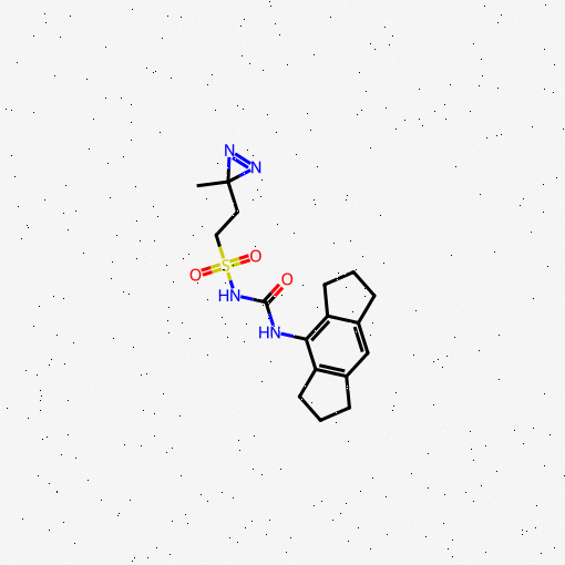 CC1(CCS(=O)(=O)NC(=O)Nc2c3c(cc4c2CCC4)CCC3)N=N1